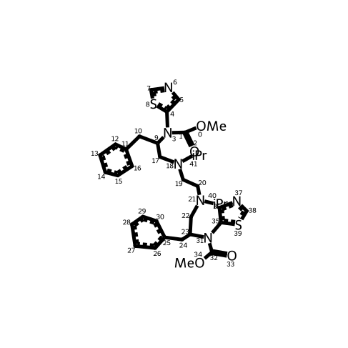 COC(=O)N(c1cncs1)C(Cc1ccccc1)CN(CCN(CC(Cc1ccccc1)N(C(=O)OC)c1cncs1)C(C)C)C(C)C